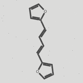 C(/C=C/c1ccco1)=C\c1ccco1